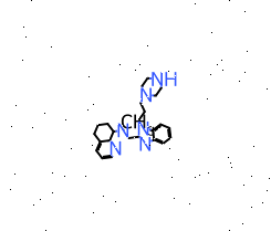 CN(Cc1nc2ccccc2n1CCCN1CCNCC1)C1CCCc2cccnc21